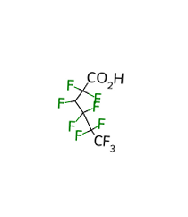 O=C(O)C(F)(F)C(F)C(F)(F)C(F)(F)C(F)(F)F